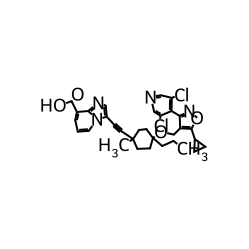 CCCC1(OCc2c(-c3c(Cl)cncc3Cl)noc2C2CC2)CCC(C)(C#Cc2cnc3c(C(=O)O)cccn23)CC1